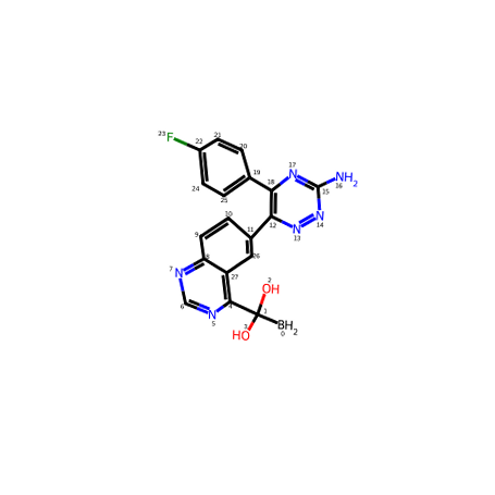 BC(O)(O)c1ncnc2ccc(-c3nnc(N)nc3-c3ccc(F)cc3)cc12